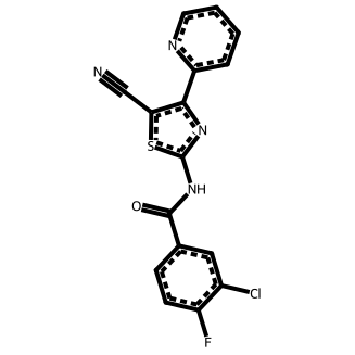 N#Cc1sc(NC(=O)c2ccc(F)c(Cl)c2)nc1-c1ccccn1